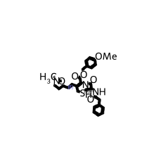 COc1ccc(COC(=O)C2=C(/C=C/C3CCN(C)O3)CS[C@H]3[C@H](NC(=O)Cc4ccccc4)C(=O)N23)cc1